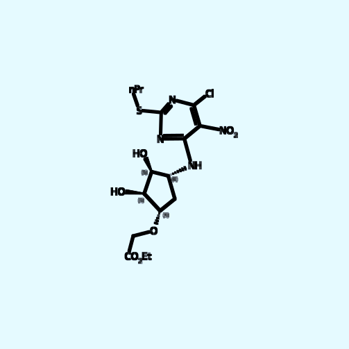 CCCSc1nc(Cl)c([N+](=O)[O-])c(N[C@@H]2C[C@H](OCC(=O)OCC)[C@@H](O)[C@H]2O)n1